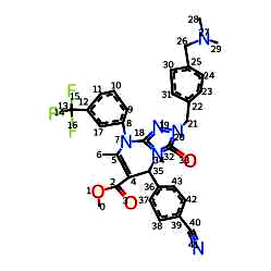 COC(=O)C1=C(C)N(c2cccc(C(F)(F)F)c2)c2nn(Cc3ccc(CN(C)C)cc3)c(=O)n2C1c1ccc(C#N)cc1